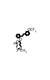 CN(CCCC(Oc1ccccc1CCc1cccc(OC(F)(F)F)c1)OC(F)F)C(F)F